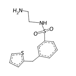 NCCNS(=O)(=O)c1cccc(Cc2cccs2)c1